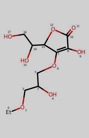 CCOCC(O)COC1=C(O)C(=O)OC1C(O)CO